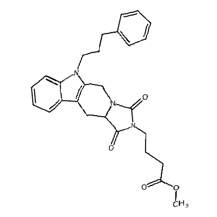 COC(=O)CCCN1C(=O)C2Cc3c(n(CCCc4ccccc4)c4ccccc34)CN2C1=O